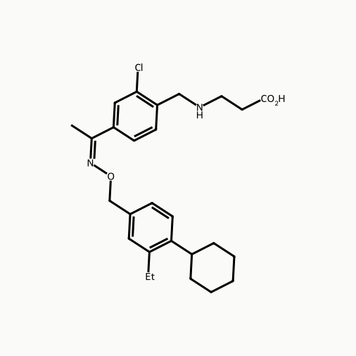 CCc1cc(CON=C(C)c2ccc(CNCCC(=O)O)c(Cl)c2)ccc1C1CCCCC1